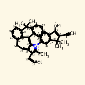 C#CC1=C(CCC)c2ccc(-n3c(C)c(/C=C\CC)c4c3=C3c5ccccc5C(C)(C)c5cccc(c53)CC=4)cc2C1(C)C